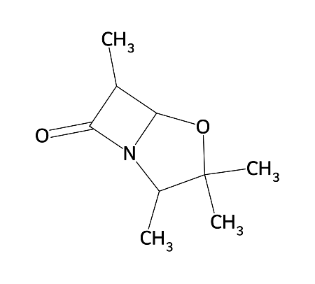 CC1C(=O)N2C1OC(C)(C)C2C